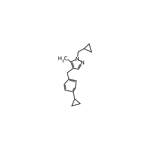 Cc1c(Cc2ccc(C3CC3)cc2)cnn1CC1CC1